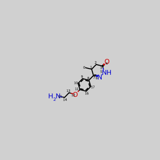 CC1CC(=O)NN=C1c1ccc(OCCN)cc1